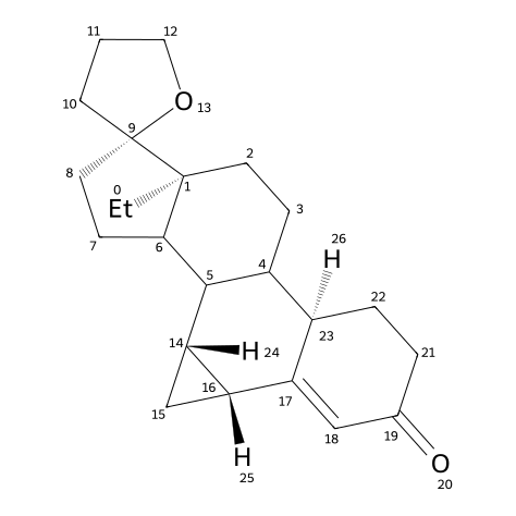 CC[C@]12CCC3C(C1CC[C@@]21CCCO1)[C@H]1C[C@H]1C1=CC(=O)CC[C@@H]13